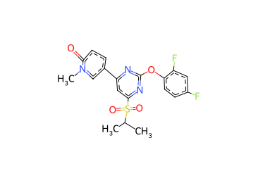 CC(C)S(=O)(=O)c1cc(-c2ccc(=O)n(C)c2)nc(Oc2ccc(F)cc2F)n1